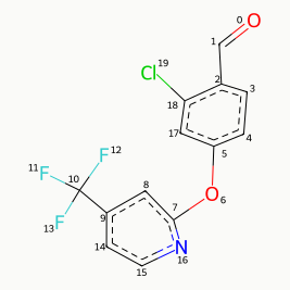 O=Cc1ccc(Oc2cc(C(F)(F)F)ccn2)cc1Cl